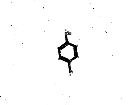 [CH2]CCCc1ccc(CC)cc1